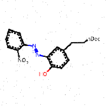 CCCCCCCCCCCCc1ccc(O)c(/N=N/c2ccccc2[N+](=O)[O-])c1